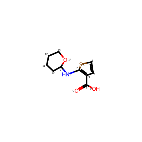 O=C(O)c1ccsc1NC1CCCCO1